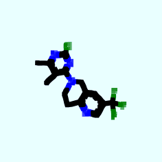 Cc1nc(Cl)nc(N2CCc3ncc(C(F)(F)F)cc3C2)c1C